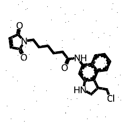 O=C(CCCCCN1C(=O)C=CC1=O)Nc1cc2c(c3ccccc13)C(CCl)CN2